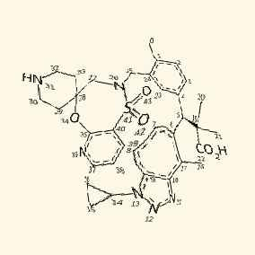 Cc1ccc([C@H](c2ccc3c(nnn3C3CC3)c2C)C(C)(C)C(=O)O)cc1CN1CC2(CCNCC2)Oc2ncccc2S1(=O)=O